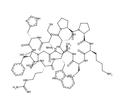 CC(=O)N[C@@H](CCS)C(=O)N[C@@H](Cc1c[nH]cn1)C(=O)N[C@H](Cc1ccccc1)C(=O)N[C@@H](CCCNC(=N)N)C(=O)N[C@@H](Cc1c[nH]c2ccccc12)C(=O)N[C@@H](CS)C(=O)N1CCC[C@H]1C(=O)N1CCC[C@H]1C(=O)N[C@@H](CCCCN)C(=O)N[C@@H](CC(=O)O)C(=O)N[C@H](C)CNC(=O)CN(CC(=O)O)CC(=O)O